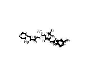 C=C(CN1CCOCC1)C(=O)NC[C@@H](NC(=O)[C@H](Cc1nc2ccc(C(C)C)cc2s1)NC(=O)CC)[C@@H](C)CC